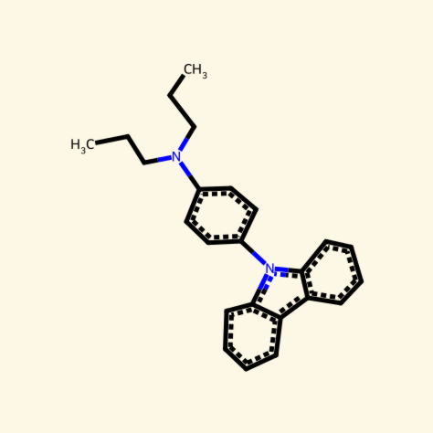 CCCN(CCC)c1ccc(-n2c3ccccc3c3ccccc32)cc1